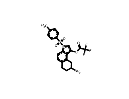 Cc1ccc(S(=O)(=O)n2cc(OC(=O)C(F)(F)F)c3c4c(ccc32)CCC(N)C4)cc1